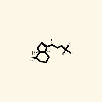 C[C@H](CCC(C)(F)F)C1=CC[C@@H]2C(=O)CCC[C@]12C